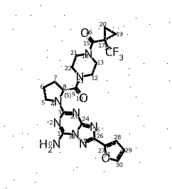 Nc1nc(N2CCC[C@H]2C(=O)N2CCN(C(=O)C3(C(F)(F)F)CC3)CC2)nc2nc(-c3ccco3)nn12